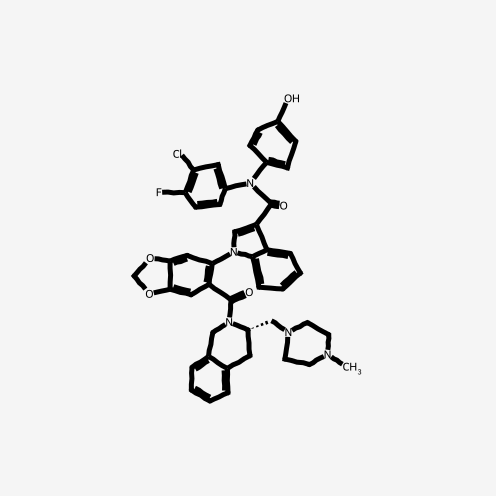 CN1CCN(C[C@@H]2Cc3ccccc3CN2C(=O)c2cc3c(cc2-n2cc(C(=O)N(c4ccc(O)cc4)c4ccc(F)c(Cl)c4)c4ccccc42)OCO3)CC1